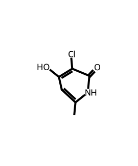 Cc1cc(O)c(Cl)c(=O)[nH]1